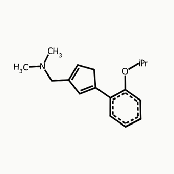 CC(C)Oc1ccccc1C1=CC(CN(C)C)=CC1